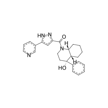 O=C(c1cc(-c2cccnc2)[nH]n1)N1CC[C@](O)(c2ccccc2)[C@H]2CCCC[C@H]21